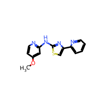 COc1ccnc(Nc2nc(-c3ccccn3)cs2)c1